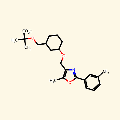 Cc1oc(-c2cccc(C(F)(F)F)c2)nc1CO[C@@H]1CCCC(COC(C)(C)C(=O)O)C1